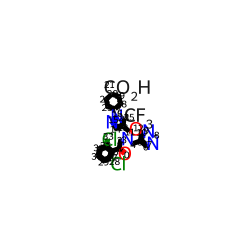 O=C(CN(Cc1cncnc1)C(=O)c1cnn(C2CCC(C(=O)O)CC2)c1C(F)(F)F)c1c(Cl)cccc1Cl